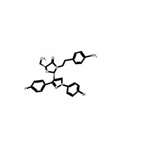 CC[C@@H]1O[C@H](c2cn(-c3ccc(Br)cc3)nc2-c2ccc(F)cc2)N(CCc2ccc(N)cc2)C1=O